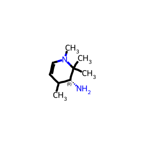 CC1C=CN(C)C(C)(C)[C@@H]1N